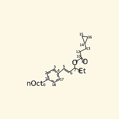 CCCCCCCCc1ccc(C=CC(CC)OC(=O)CCC2CC2)cc1